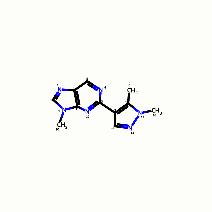 Cc1c(-c2ncc3ncn(C)c3n2)cnn1C